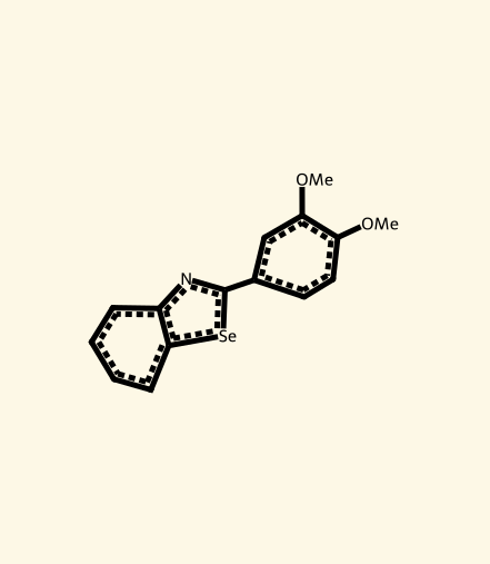 COc1ccc(-c2nc3ccccc3[se]2)cc1OC